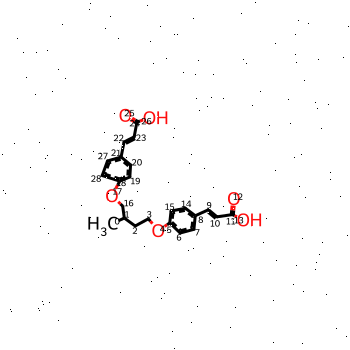 CC(CCOc1ccc(C=CC(=O)O)cc1)COc1ccc(C=CC(=O)O)cc1